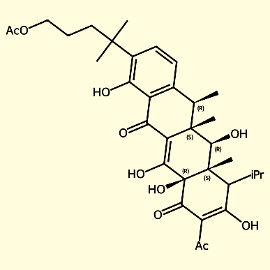 CC(=O)OCCCC(C)(C)c1ccc2c(c1O)C(=O)C1=C(O)[C@@]3(O)C(=O)C(C(C)=O)=C(O)C(C(C)C)[C@@]3(C)[C@H](O)[C@@]1(C)[C@@H]2C